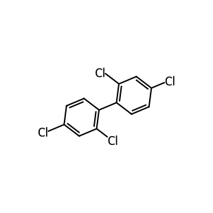 Clc1ccc(-c2ccc(Cl)cc2Cl)c(Cl)c1